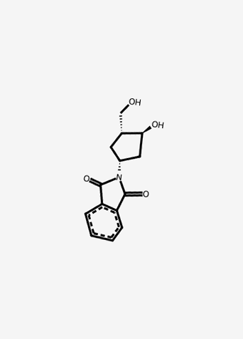 O=C1c2ccccc2C(=O)N1[C@@H]1C[C@H](CO)[C@@H](O)C1